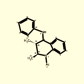 CC(=O)N1c2ccccc2C(Nc2ccccc2)[C@@H](C)[C@@H]1C